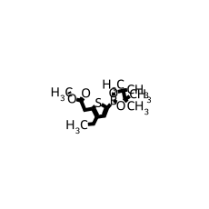 CCc1cc(B2OC(C)(C)C(C)(C)O2)sc1CC(=O)OC